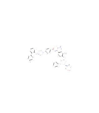 CN(C)C(=O)C(NC(=O)c1ccc(N2CCN(Cc3ccccc3-c3ccc(Cl)cc3)CC2)cc1)c1ccc(N[C@H](CCN2CCOCC2)CSc2ccccc2)c([N+](=O)[O-])c1